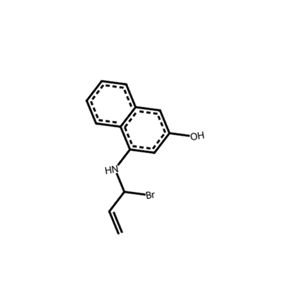 C=CC(Br)Nc1cc(O)cc2ccccc12